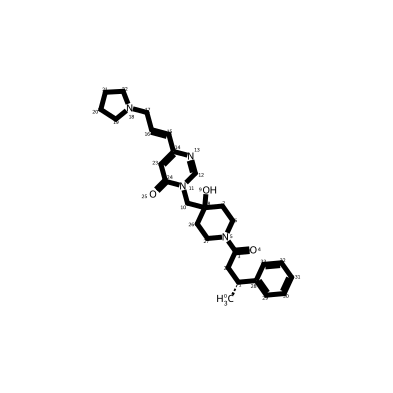 C[C@H](CC(=O)N1CCC(O)(Cn2cnc(/C=C/CN3CCCC3)cc2=O)CC1)c1ccccc1